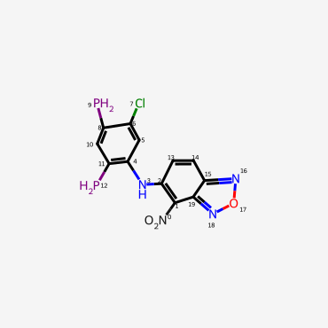 O=[N+]([O-])c1c(Nc2cc(Cl)c(P)cc2P)ccc2nonc12